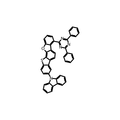 c1ccc(-c2nc(-c3ccccc3)nc(-c3cccc4oc5c(ccc6c7cc(-n8c9ccccc9c9ccccc98)ccc7sc65)c34)n2)cc1